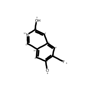 Oc1cc2cc(F)c(Cl)cc2cn1